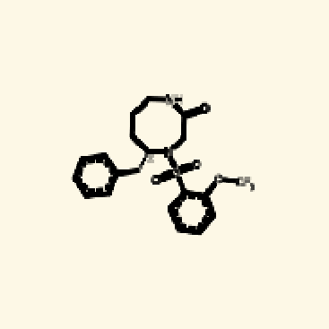 O=C1CN(S(=O)(=O)c2ccccc2OC(F)(F)F)[C@H](Cc2ccccc2)CCCN1